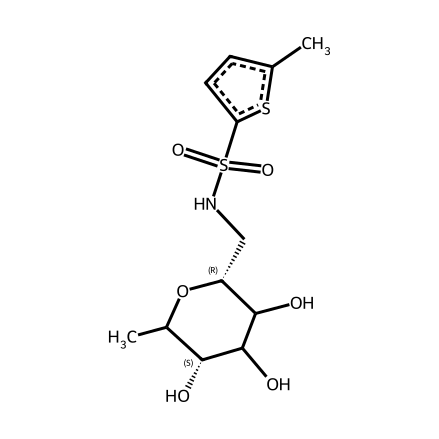 Cc1ccc(S(=O)(=O)NC[C@H]2OC(C)[C@@H](O)C(O)C2O)s1